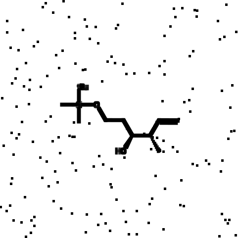 C=C[C@H](C)[C@@H](O)CCO[Si](C)(C)C(C)(C)C